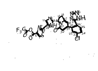 O=C(OC(=O)C(F)(F)F)c1csc(-c2cnc([C@@H]3CCc4cc(-c5cc(Cl)ccc5-c5nnn[nH]5)cc(=O)n43)[nH]2)n1